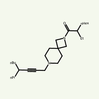 CCCCCCC(CC)C(=O)N1CC2(CCN(CC#CC(CCC)CCCC)CC2)C1